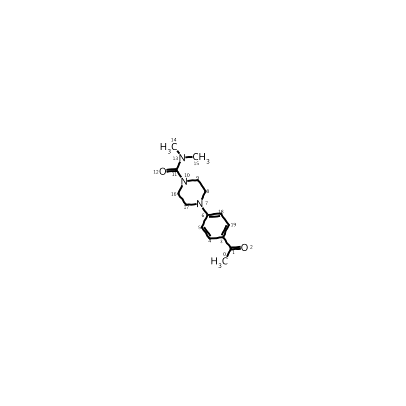 CC(=O)c1ccc(N2CCN(C(=O)N(C)C)CC2)cc1